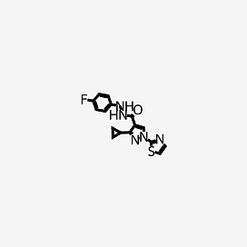 O=C(NNc1ccc(F)cc1)c1cn(-c2nccs2)nc1C1CC1